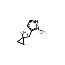 Cn1nccc1CC1(C)CC1